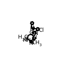 C[C@@H]1CCC[C@H](n2cnc(-c3cc(Cl)ccc3-c3cnn(Cc4ccccc4)c3)cc2=O)c2cc(ccn2)-c2c(cnn2C)NC1=O